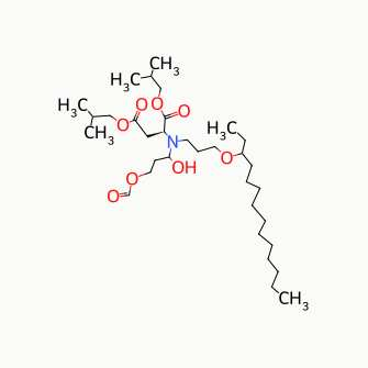 CCCCCCCCCCCC(CC)OCCCN(C(O)CCOC=O)[C@@H](CC(=O)OCC(C)C)C(=O)OCC(C)C